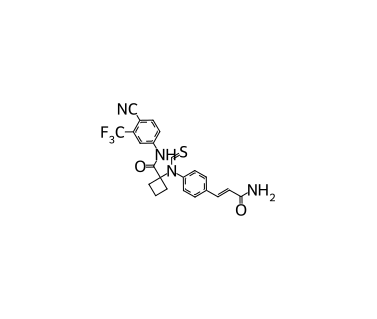 N#Cc1ccc(NC(=O)C2(N(C=S)c3ccc(/C=C/C(N)=O)cc3)CCC2)cc1C(F)(F)F